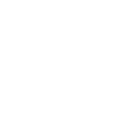 ClC1=CC[C]N1